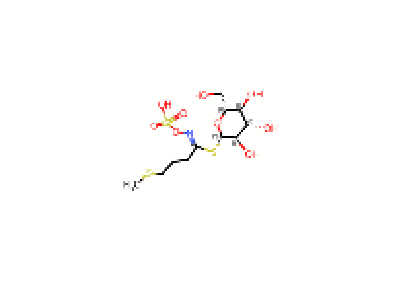 CSCCCC(=NOS(=O)(=O)O)S[C@@H]1O[C@H](CO)[C@@H](O)[C@H](O)[C@H]1O